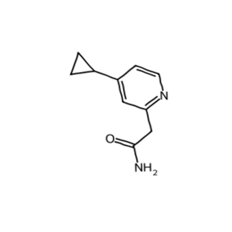 NC(=O)Cc1cc(C2CC2)ccn1